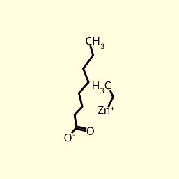 CCCCCCCC(=O)[O-].C[CH2][Zn+]